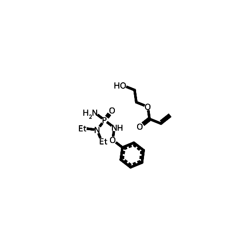 C=CC(=O)OCCO.CCN(CC)P(N)(=O)NOc1ccccc1